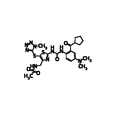 CN(C)c1ccc(NC(=O)Nc2nc(CNS(C)(=O)=O)c(Sc3nnnn3C)s2)c(C(=O)C2CCCC2)c1